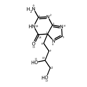 NC1=NC2=NC=NC2(CCC(O)CO)C(=O)N1